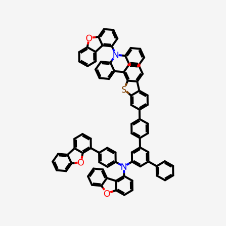 c1ccc(-c2cc(-c3ccc(-c4ccc5c(c4)sc4c(-c6ccccc6N(c6ccccc6)c6cccc7oc8ccccc8c67)cccc45)cc3)cc(N(c3ccc(-c4cccc5c4oc4ccccc45)cc3)c3cccc4oc5ccccc5c34)c2)cc1